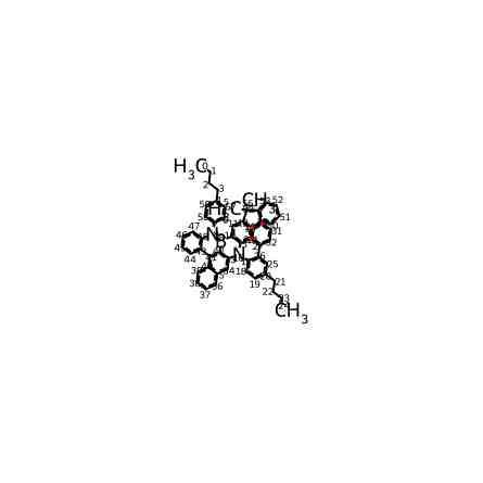 CCCCc1ccc(N2B3c4cc5c(cc4N(c4ccc(CCCC)cc4-c4ccccc4)c4cc6ccccc6c(c43)-c3ccccc32)-c2ccccc2C5(C)C)cc1